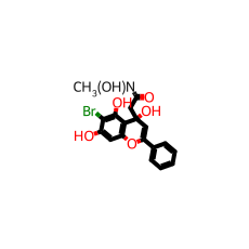 CN(O)C(=O)CC1(O)C=C(c2ccccc2)Oc2cc(O)c(Br)c(O)c21